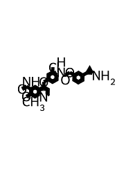 COc1cc2nccc(Oc3ccc(NC(=O)Oc4cccc(C5CC5N)c4)c(Cl)c3)c2cc1C(N)=O